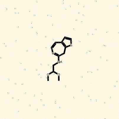 COC(CNC1=NC=Cc2ccsc2C1)OC